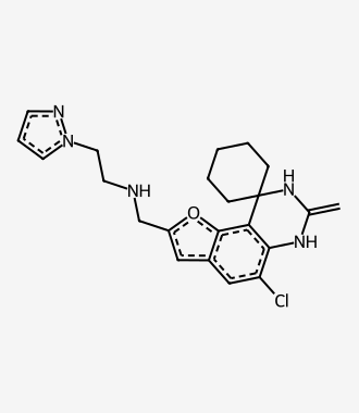 C=C1Nc2c(Cl)cc3cc(CNCCn4cccn4)oc3c2C2(CCCCC2)N1